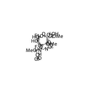 CC[C@H]1OC(=O)[C@H](C)C([C@H]2C[C@@](C)(OC)[C@@H](O)[C@H](C)O2)[C@H](C)[C@@H](O[C@H]2C[C@@H](N(C)CCC(=O)N[C@H](CF)[C@H](OC)c3ccc(S(C)(=O)=O)cc3)C[C@@H](C)O2)[C@](C)(OC)C[C@@H](C)C(=O)[C@H](C)[C@@H](O)[C@]1(C)O